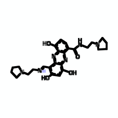 O=C(NCCN1CCCC1)c1ccc(O)c2nc3c(/C=N/CCN4CCCC4)c(O)cc(O)c3nc12